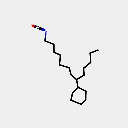 CCCCCC(CCCCCCCN=C=O)C1CCCCC1